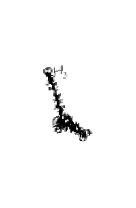 CCCCCCCCCCCCCCCC(=O)C1(CO)C=CC2=c3ccc([N+](=O)[O-])cc3=CC2=C1